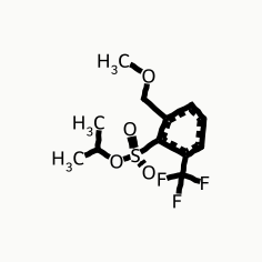 COCc1cccc(C(F)(F)F)c1S(=O)(=O)OC(C)C